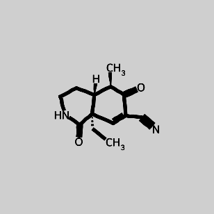 CC[C@@]12C=C(C#N)C(=O)[C@H](C)[C@H]1CCNC2=O